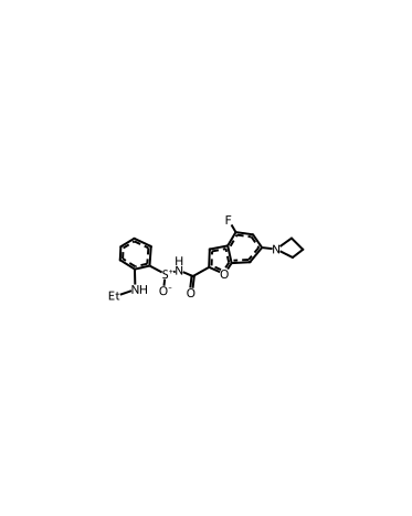 CCNc1ccccc1[S+]([O-])NC(=O)c1cc2c(F)cc(N3CCC3)cc2o1